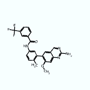 COc1cc2nc(N)ncc2cc1-c1cc(NC(=O)c2cccc(C(F)(F)F)c2)ccc1C